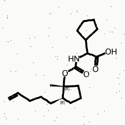 C=CCCC[C@@H]1CCC[C@@]1(C)OC(=O)NC(C(=O)O)C1CCCC1